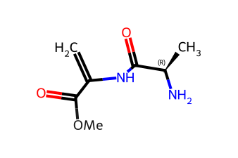 C=C(NC(=O)[C@@H](C)N)C(=O)OC